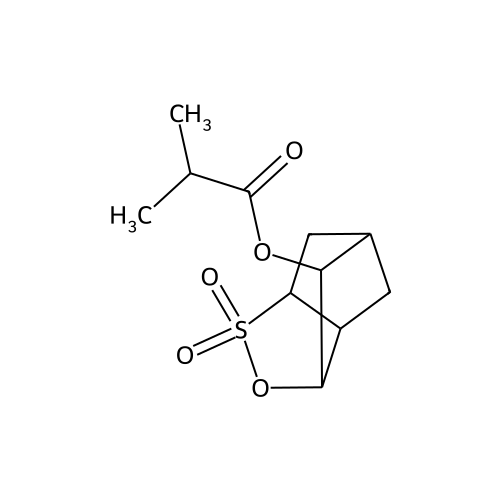 CC(C)C(=O)OC1C2CC3C1OS(=O)(=O)C3C2